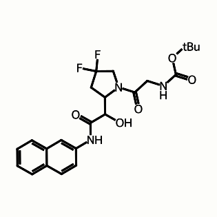 CC(C)(C)OC(=O)NCC(=O)N1CC(F)(F)CC1C(O)C(=O)Nc1ccc2ccccc2c1